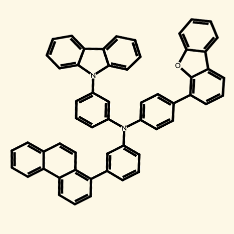 c1cc(-c2cccc3c2ccc2ccccc23)cc(N(c2ccc(-c3cccc4c3oc3ccccc34)cc2)c2cccc(-n3c4ccccc4c4ccccc43)c2)c1